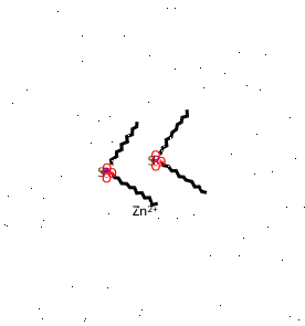 CCCCCCCCCCCCOP([O-])(=S)OCCCCCCCCCCCC.CCCCCCCCCCCCOP([O-])(=S)OCCCCCCCCCCCC.[Zn+2]